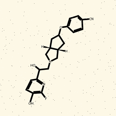 N#Cc1ccc(OC2C[C@@H]3CN(CC(O)c4ccc(O)c(F)n4)C[C@@H]3C2)cc1